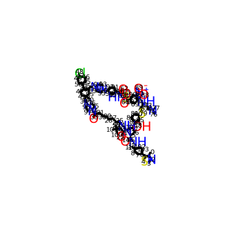 Cc1ncsc1-c1ccc([C@H](C)NC(=O)[C@@H]2C[C@@H](O)CN2C(=O)[C@@H](NCCCCCCCC(=O)N2CCN(CC3(C)CCC(c4ccc(Cl)cc4)=C(CN4CCN(c5ccc(C(=O)NS(=O)(=O)c6ccc(N[C@H](CCN(C)C)CSc7ccccc7)c([N+](=O)[O-])c6)cc5)CC4)C3)CC2)C(C)(C)C)cc1